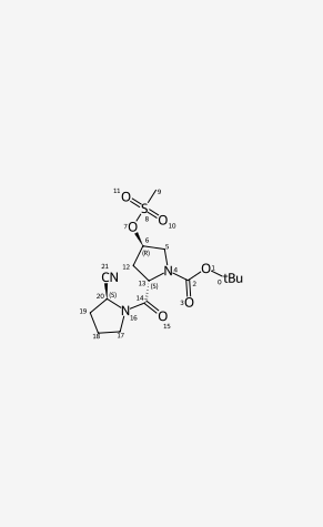 CC(C)(C)OC(=O)N1C[C@H](OS(C)(=O)=O)C[C@H]1C(=O)N1CCC[C@H]1C#N